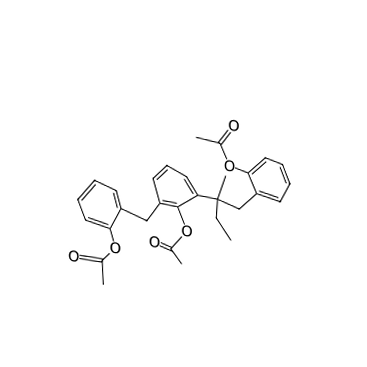 CCC(C)(Cc1ccccc1OC(C)=O)c1cccc(Cc2ccccc2OC(C)=O)c1OC(C)=O